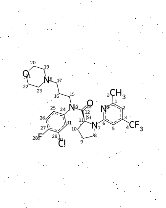 Cc1cc(C(F)(F)F)cc(N2CCC[C@H]2C(=O)N(CCCN2CCOCC2)c2ccc(F)c(Cl)c2)n1